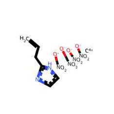 C=CCc1ncc[nH]1.O=[N+]([O-])[O-].O=[N+]([O-])[O-].O=[N+]([O-])[O-].O=[N+]([O-])[O-].[C+4]